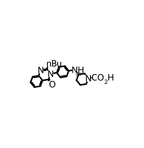 CCCCc1nc2ccccc2c(=O)n1-c1ccc(N[C@@H]2CCCN(C(=O)O)C2)cc1